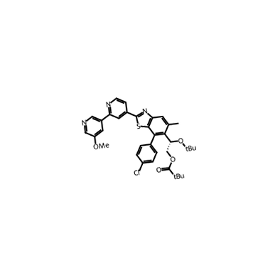 COc1cncc(-c2cc(-c3nc4cc(C)c([C@@H](COC(=O)C(C)(C)C)OC(C)(C)C)c(-c5ccc(Cl)cc5)c4s3)ccn2)c1